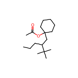 CCCC(CC1(OC(C)=O)CCCCC1)C(C)(C)C